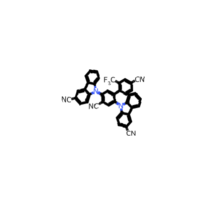 N#Cc1ccc(-c2cc(-n3c4ccccc4c4cc(C#N)ccc43)c(C#N)cc2-n2c3ccccc3c3cc(C#N)ccc32)c(C(F)(F)F)c1